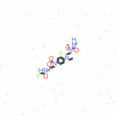 CCN(CCN(OC)C(=O)NC)c1ccc(N2C[C@H](CNC(=O)C(F)F)OC2=O)cc1F